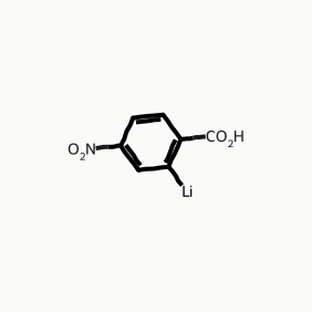 [Li][c]1cc([N+](=O)[O-])ccc1C(=O)O